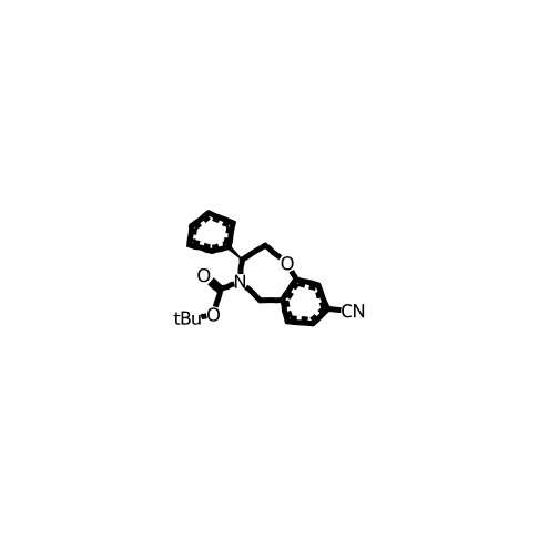 CC(C)(C)OC(=O)N1Cc2ccc(C#N)cc2OC[C@@H]1c1ccccc1